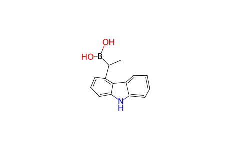 CC(B(O)O)c1cccc2[nH]c3ccccc3c12